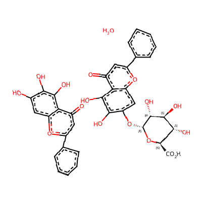 O.O=C(O)[C@H]1O[C@H](Oc2cc3oc(-c4ccccc4)cc(=O)c3c(O)c2O)[C@H](O)[C@@H](O)[C@@H]1O.O=c1cc(-c2ccccc2)oc2cc(O)c(O)c(O)c12